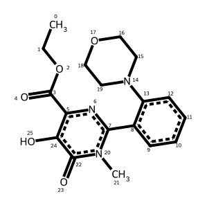 CCOC(=O)c1nc(-c2ccccc2N2CCOCC2)n(C)c(=O)c1O